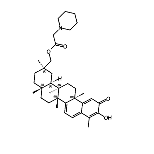 CC1=C(O)C(=O)C=C2C1=CC=C1[C@@]2(C)CC[C@]2(C)[C@@H]3C[C@](C)(COC(=O)CN4CCCCC4)CC[C@@]3(C)CC[C@@]12C